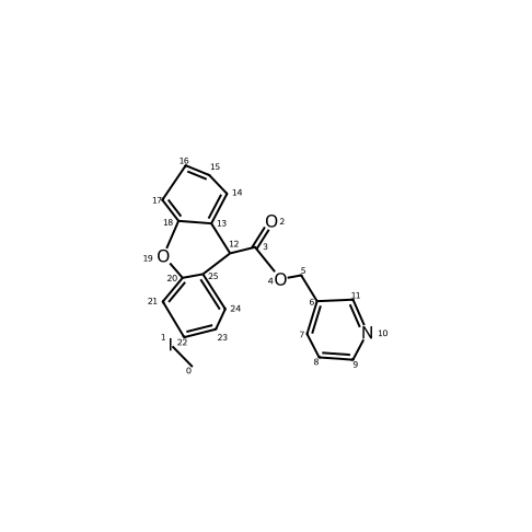 CI.O=C(OCc1cccnc1)C1c2ccccc2Oc2ccccc21